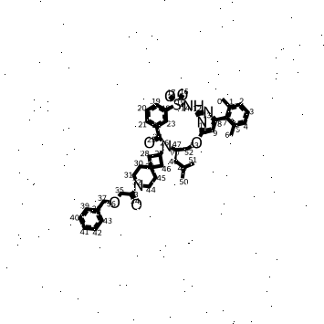 Cc1cccc(C)c1-c1cc2nc(n1)NS(=O)(=O)c1cccc(c1)C(=O)N(C1CC3(CCN(C(=O)COCc4ccccc4)CC3)C1)[C@H](CC(C)C)CO2